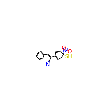 N#CC(=Cc1ccccc1)C1=CCC(S)([N+](=O)[O-])C=C1